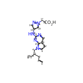 C=CCC(Cn1ccc2cnc(Nc3cnn(CC(=O)O)c3)nc21)C(C)C